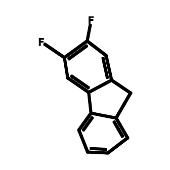 Fc1cc2c(cc1F)-c1ccccc1C2